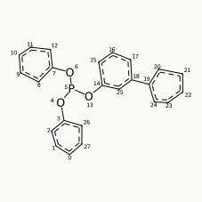 c1ccc(OP(Oc2ccccc2)Oc2cccc(-c3ccccc3)c2)cc1